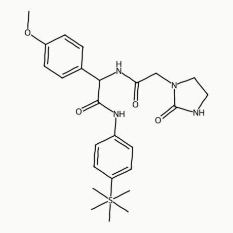 COc1ccc(C(NC(=O)CN2CCNC2=O)C(=O)Nc2ccc(S(C)(C)(C)(C)C)cc2)cc1